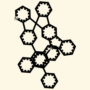 c1ccc(-c2c3ccccc3c(-c3ccc4c(c3)C3(c5ccccc5-c5cc6c7ccccc7n(-c7ccccc7)c6cc53)c3cccnc3-4)c3ccccc23)cc1